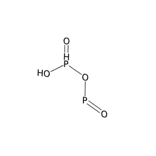 O=PO[PH](=O)O